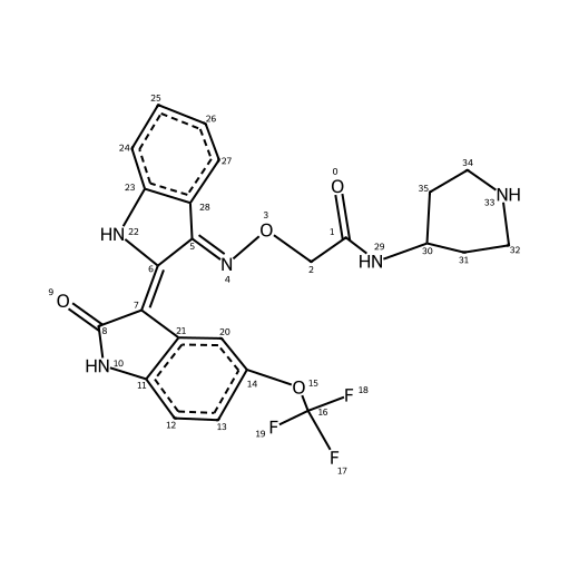 O=C(CO/N=C1/C(=C2/C(=O)Nc3ccc(OC(F)(F)F)cc32)Nc2ccccc21)NC1CCNCC1